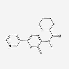 CN(C(=O)C1CCCCC1)c1ccc(-c2cccnc2)oc1=O